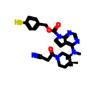 C[C@@H]1CCN(C(=O)CC#N)C[C@@H]1N(C)c1ncnc2c1ccn2C(=O)OCc1ccc(S)cc1